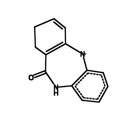 O=C1Nc2ccccc2[N]C2=C1CCC=C2